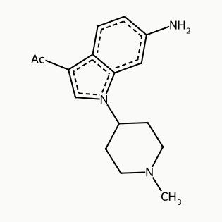 CC(=O)c1cn(C2CCN(C)CC2)c2cc(N)ccc12